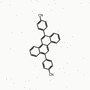 N#Cc1ccc(-c2cc3c4ccccc4c(-c4ccc(C#N)cc4)cc3c3ccccc23)cc1